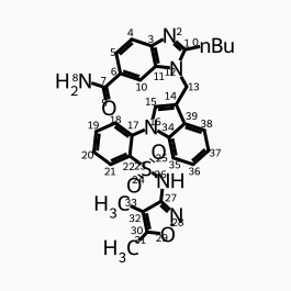 CCCCc1nc2ccc(C(N)=O)cc2n1Cc1cn(-c2ccccc2S(=O)(=O)Nc2noc(C)c2C)c2ccccc12